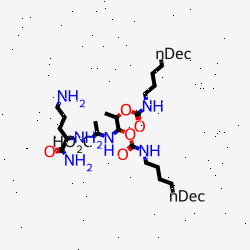 CCCCCCCCCCCCCCNC(=O)OC(C)C(NC(C)C(=O)O)OC(=O)NCCCCCCCCCCCCCC.NCCCC(N)C(N)=O